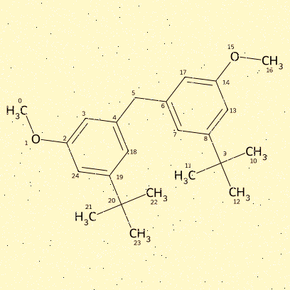 COc1cc(Cc2[c]c(C(C)(C)C)cc(OC)c2)[c]c(C(C)(C)C)c1